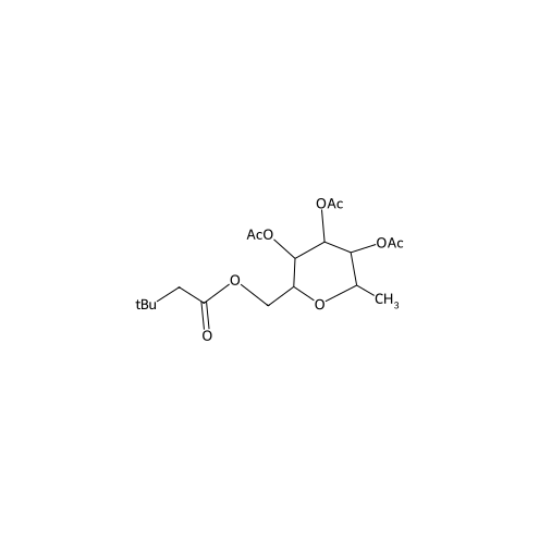 CC(=O)OC1C(C)OC(COC(=O)CC(C)(C)C)C(OC(C)=O)C1OC(C)=O